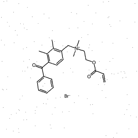 C=CC(=O)OCC[N+](C)(C)Cc1ccc(C(=O)c2ccccc2)c(C)c1C.[Br-]